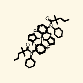 CCCC(C)(C)C(=O)N(c1ccc(F)[c]([Ti]([c]2c(F)ccc(N(C(=O)C(C)(C)CCC)C3CCCCC3)c2F)([CH]2C=CC=C2)[CH]2C=CC=C2)c1F)C1CCCCC1